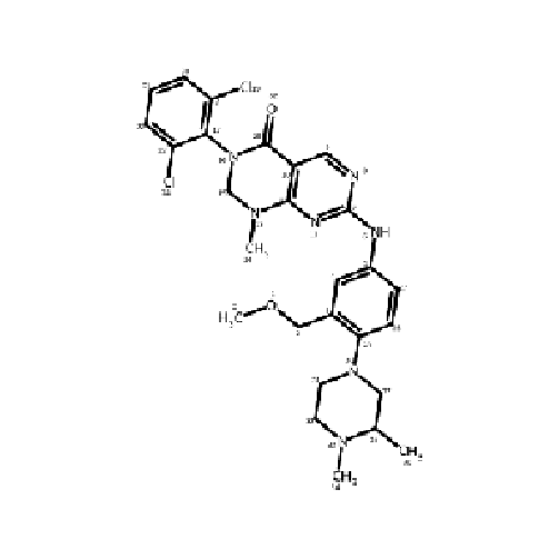 COCc1cc(Nc2ncc3c(n2)N(C)CN(c2c(Cl)cccc2Cl)C3=O)ccc1N1CCN(C)C(C)C1